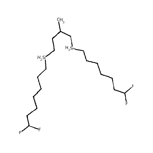 CC(CC[SiH2]CCCCCCC(F)F)C[SiH2]CCCCCCC(F)F